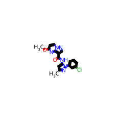 COc1ccn2ncc(C(=O)Nc3cc(C)nn3-c3cccc(Cl)c3)c2n1